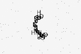 CC(=O)c1c(C)c2cnc(Nc3ccc(N4CCN(Cc5ccc(C6CCC(=O)NC6=O)c(F)c5)CC4)cn3)nc2n(C2CCCC2)c1=O